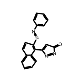 O=C1C=C(c2c(N=Nc3ccccc3)ccc3ccccc23)N=N1